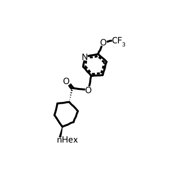 CCCCCC[C@H]1CC[C@H](C(=O)Oc2ccc(OC(F)(F)F)nc2)CC1